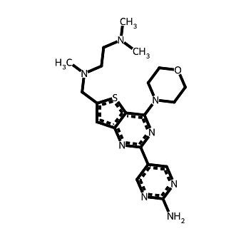 CN(C)CCN(C)Cc1cc2nc(-c3cnc(N)nc3)nc(N3CCOCC3)c2s1